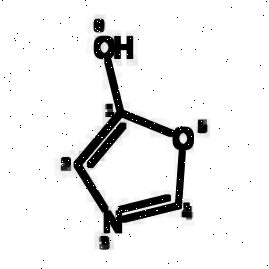 Oc1cn[c]o1